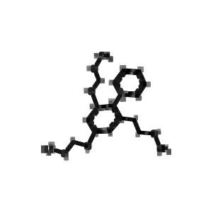 COCCc1cc(OCOC)cc(OCOC)c1-c1ccccc1